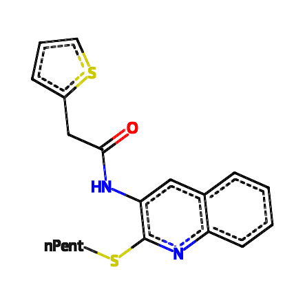 CCCCCSc1nc2ccccc2cc1NC(=O)Cc1cccs1